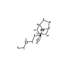 CCOCCCN1C2CCC1C[S+]([O-])C2